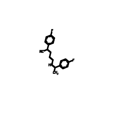 CC(NCCCC(C#N)c1ccc(F)cc1)c1ccc(F)cc1